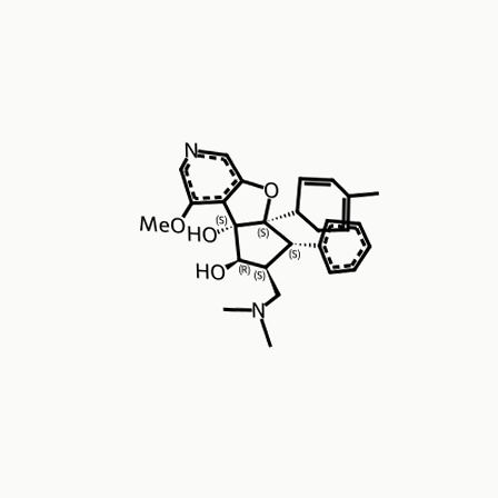 COc1cncc2c1[C@]1(O)[C@H](O)[C@H](CN(C)C)[C@@H](c3ccccc3)[C@]1(C1C=CC(C)=CC1)O2